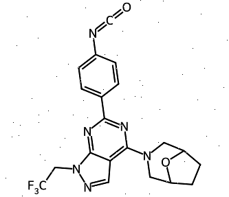 O=C=Nc1ccc(-c2nc(N3CC4CCC(C3)O4)c3cnn(CC(F)(F)F)c3n2)cc1